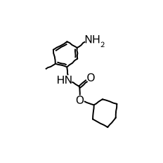 Cc1ccc(N)cc1NC(=O)OC1CCCCC1